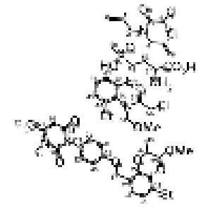 C=CCN(CC=C)C(=O)C(Cl)Cl.CCc1ccc(COc2ccc(-n3c(=O)cc(C(F)(F)F)n(C)c3=O)cc2)c(OC(C)C(=O)OC)c1.CCc1cccc(CC)c1N(COC)C(=O)CCl.CP(=O)(O)CCC(N)C(=O)O